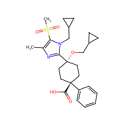 Cc1nc([C@]2(OCC3CC3)CC[C@@](C(=O)O)(c3ccccc3)CC2)n(CC2CC2)c1S(C)(=O)=O